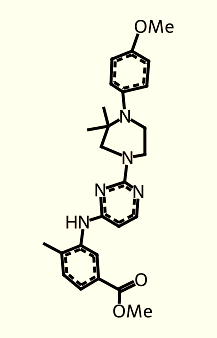 COC(=O)c1ccc(C)c(Nc2ccnc(N3CCN(c4ccc(OC)cc4)C(C)(C)C3)n2)c1